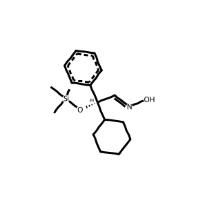 C[Si](C)(C)O[C@@](C=NO)(c1ccccc1)C1CCCCC1